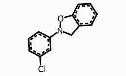 Clc1cccc(N2Cc3ccccc3O2)c1